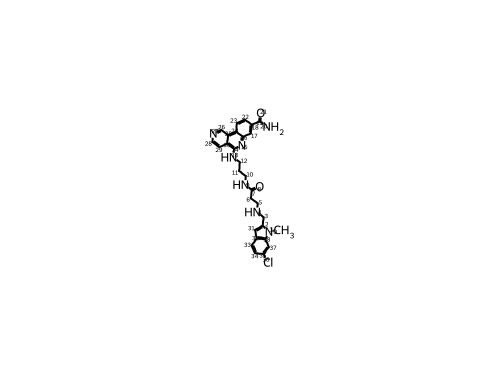 Cn1c(CNCCC(=O)NCCCNc2nc3cc(C(N)=O)ccc3c3cnccc23)cc2ccc(Cl)cc21